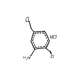 Cl.Nc1cc(Cl)ccc1Cl